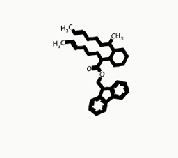 CC=CCCCC(C)C1CCCCC1C(CCCC=CC)C(=O)OCC1c2ccccc2-c2ccccc21